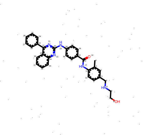 Cc1cc(CNCCO)ccc1NC(=O)c1ccc(Nc2nc(-c3ccccc3)c3ccccc3n2)cc1